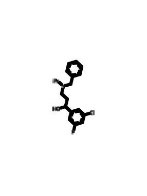 CC(C)N(CCC(O)c1cc(F)cc(Cl)c1)Cc1ccccc1